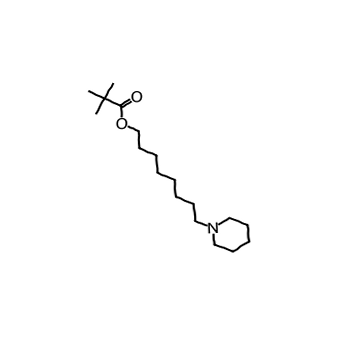 CC(C)(C)C(=O)OCCCCCCCCN1CCCCC1